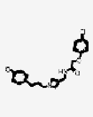 O=C(COc1ccc(Cl)cc1)NCC1CN(CCCc2ccc(Cl)cc2)C1